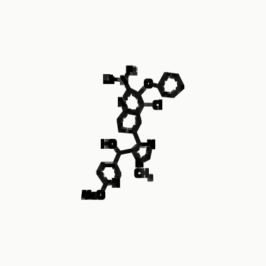 CCN(CC)c1nc2ccc(-c3ncn(C)c3C(O)c3ccc(OC)nc3)cc2c(Cl)c1Oc1ccccc1